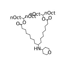 CCCCCCCCC(CCCCCCCC)OC(=O)CCCCCCCC(CCCCCCCC(=O)OC(CCCCCCCC)CCCCCCCC)NC1CCOCC1